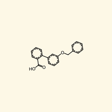 O=C(O)c1ccccc1-c1cccc(OCc2ccccc2)c1